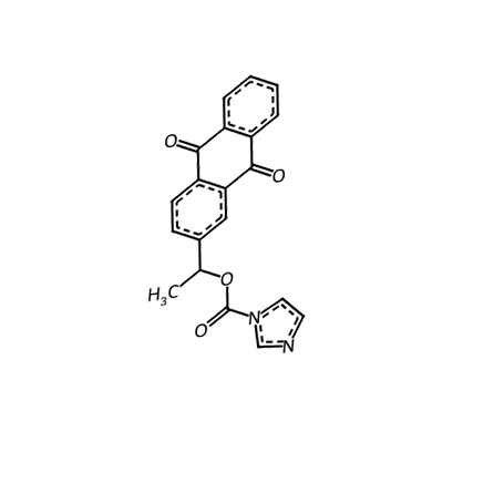 CC(OC(=O)n1ccnc1)c1ccc2c(c1)C(=O)c1ccccc1C2=O